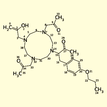 C=C(O)CN1CCN(CC(C)=O)CCN(C(Cc2ccc(OCCC)cc2)C(C)=O)CCN(CC(C)=O)CC1